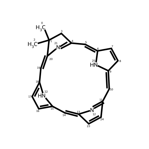 CC1(C)Cc2cc3ccc(cc4nc(cc5ccc(cc1n2)[nH]5)C=C4)[nH]3